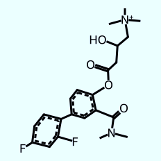 CN(C)C(=O)c1cc(-c2ccc(F)cc2F)ccc1OC(=O)CC(O)C[N+](C)(C)C